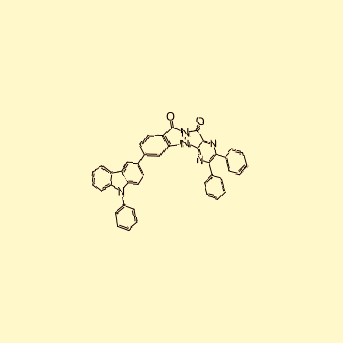 O=c1c2ccc(-c3ccc4c(c3)c3ccccc3n4-c3ccccc3)cc2n2c3nc(-c4ccccc4)c(-c4ccccc4)nc3c(=O)n12